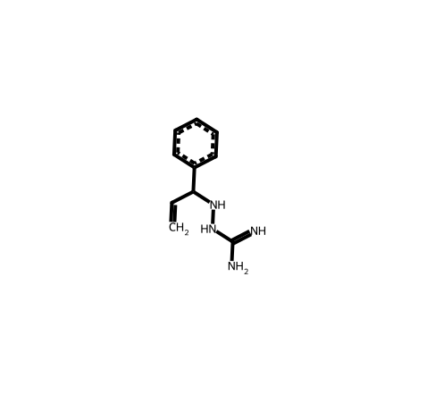 C=CC(NNC(=N)N)c1ccccc1